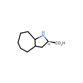 O=C(O)[C@H]1CC2CCCCCC2N1